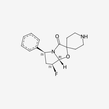 O=C1N2[C@H](OC13CCNCC3)[C@@H](F)C[C@H]2c1ccccc1